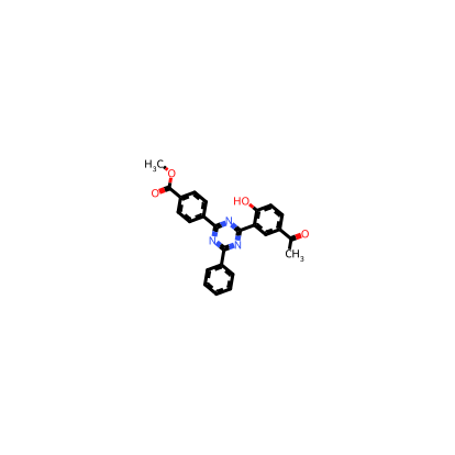 COC(=O)c1ccc(-c2nc(-c3ccccc3)nc(-c3cc(C(C)=O)ccc3O)n2)cc1